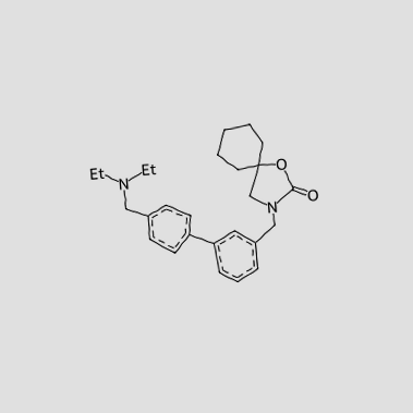 CCN(CC)Cc1ccc(-c2cccc(CN3CC4(CCCCC4)OC3=O)c2)cc1